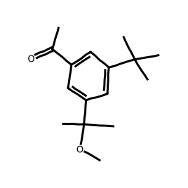 COC(C)(C)c1cc(C(C)=O)cc(C(C)(C)C)c1